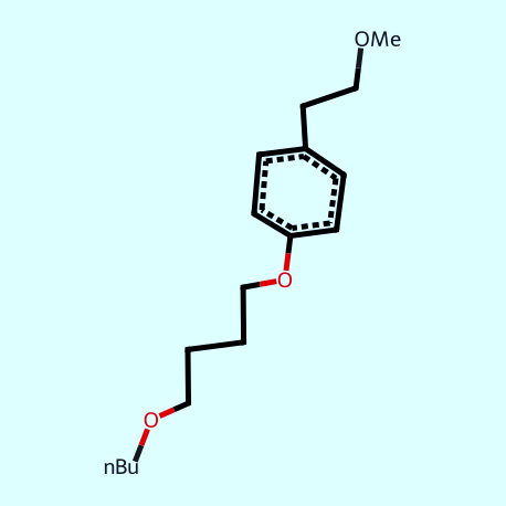 CCCCOCCCCOc1ccc(CCOC)cc1